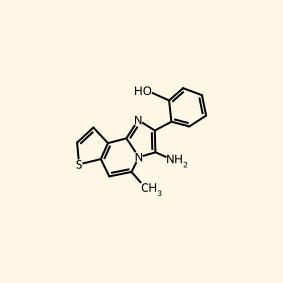 Cc1cc2sccc2c2nc(-c3ccccc3O)c(N)n12